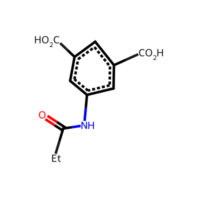 CCC(=O)Nc1cc(C(=O)O)cc(C(=O)O)c1